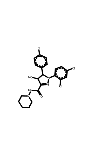 N#CC1C(C(=O)NN2CCCCC2)=NN(c2ccc(Cl)cc2Cl)C1c1ccc(Cl)cc1